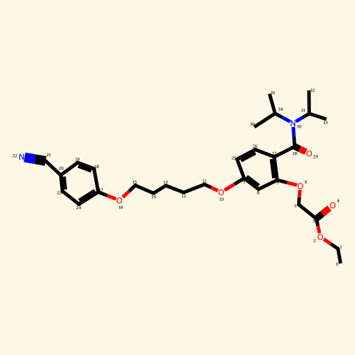 CCOC(=O)COc1cc(OCCCCCOc2ccc(C#N)cc2)ccc1C(=O)N(C(C)C)C(C)C